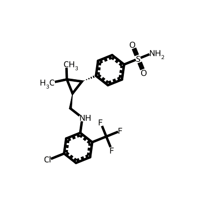 CC1(C)[C@H](CNc2cc(Cl)ccc2C(F)(F)F)[C@H]1c1ccc(S(N)(=O)=O)cc1